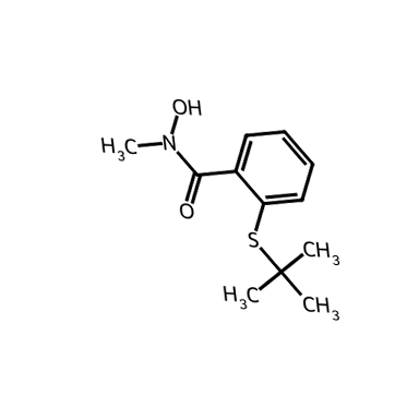 CN(O)C(=O)c1ccccc1SC(C)(C)C